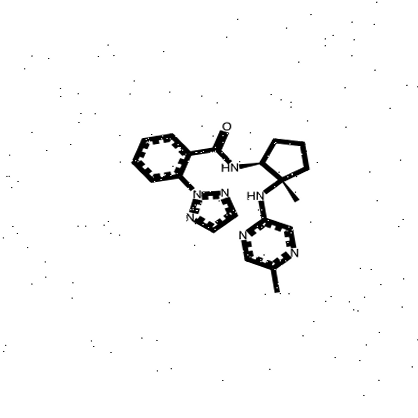 Cc1cnc(N[C@@]2(C)CCC[C@@H]2NC(=O)c2ccccc2-n2nccn2)cn1